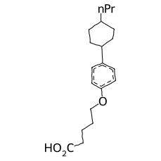 CCCC1CCC(c2ccc(OCCCCC(=O)O)cc2)CC1